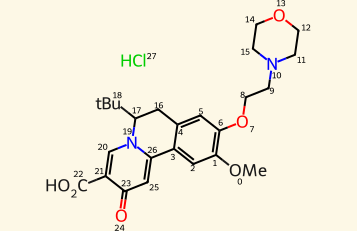 COc1cc2c(cc1OCCN1CCOCC1)CC(C(C)(C)C)n1cc(C(=O)O)c(=O)cc1-2.Cl